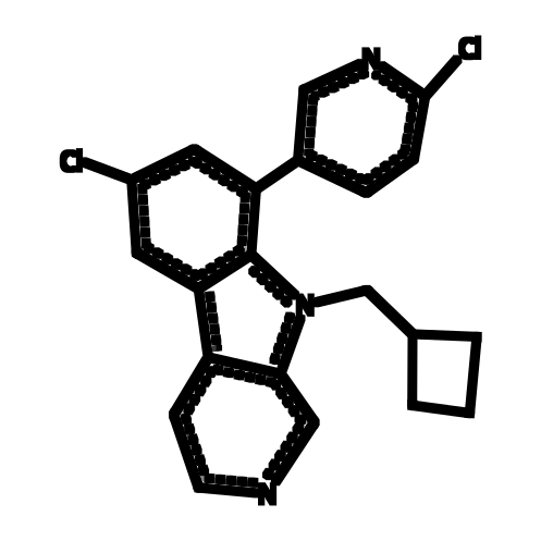 Clc1cc(-c2ccc(Cl)nc2)c2c(c1)c1ccncc1n2CC1CCC1